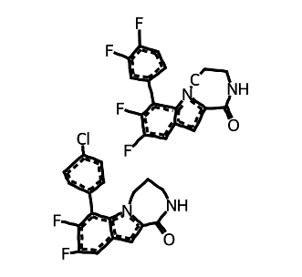 O=C1NCCCn2c1cc1cc(F)c(F)c(-c3ccc(Cl)cc3)c12.O=C1NCCCn2c1cc1cc(F)c(F)c(-c3ccc(F)c(F)c3)c12